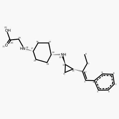 CC/C(=C\c1ccccc1)[C@@H]1C[C@H]1N[C@H]1CC[C@@H](NCC(=O)O)CC1